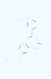 CSNc1ccc2c(c1)NC(=O)CC(c1cccc(C#N)c1)=N2